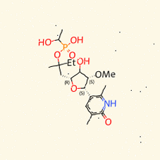 CCC(C)(C[C@H]1O[C@@H](c2cc(C)c(=O)[nH]c2C)[C@@H](OC)C1O)OP(=O)(O)C(C)O